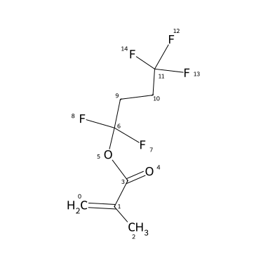 C=C(C)C(=O)OC(F)(F)CCC(F)(F)F